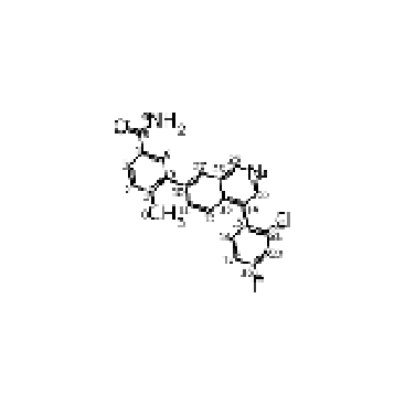 Cc1ccc(C(N)=O)cc1-c1ccc2c(-c3ccc(F)cc3Cl)cncc2c1